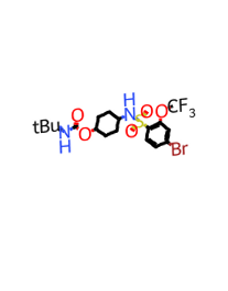 CC(C)(C)NC(=O)OC1CCC(NS(=O)(=O)c2ccc(Br)cc2OC(F)(F)F)CC1